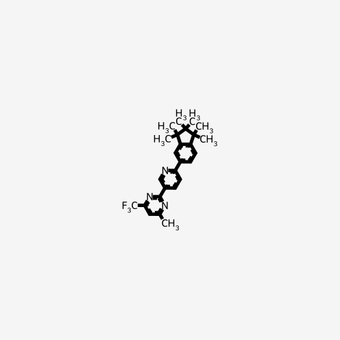 Cc1cc(C(F)(F)F)nc(-c2ccc(-c3ccc4c(c3)C(C)(C)C(C)(C)C4(C)C)nc2)n1